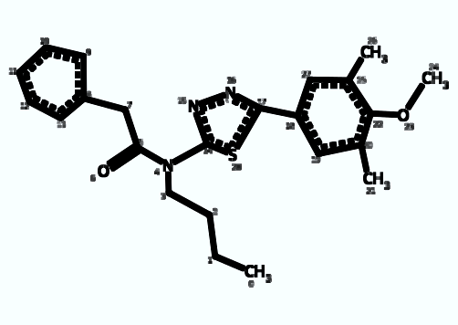 CCCCN(C(=O)Cc1ccccc1)c1nnc(-c2cc(C)c(OC)c(C)c2)s1